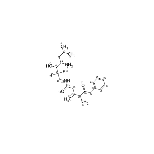 CC(C)CC(N)C(O)C(F)(F)CNC(=O)CC(C)C(N)C(=O)Cc1ccccc1